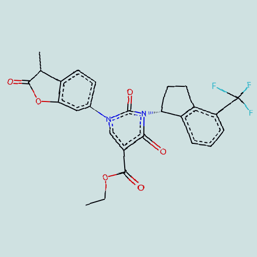 CCOC(=O)c1cn(-c2ccc3c(c2)OC(=O)C3C)c(=O)n([C@@H]2CCc3c2cccc3C(F)(F)F)c1=O